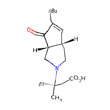 CCCCC1=C[C@@H]2CN([C@@](C)(CC)C(=O)O)C[C@@H]2C1=O